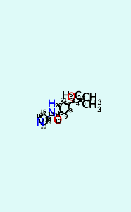 CC(C)(C)CC(=O)c1ccc(C(=O)Nc2ccncc2)cc1